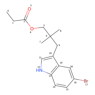 CCC(=O)OCC(C)(C)Cc1c[nH]c2ccc(Br)cc12